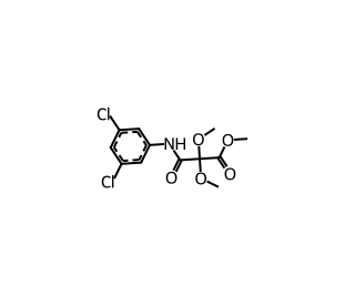 COC(=O)C(OC)(OC)C(=O)Nc1cc(Cl)cc(Cl)c1